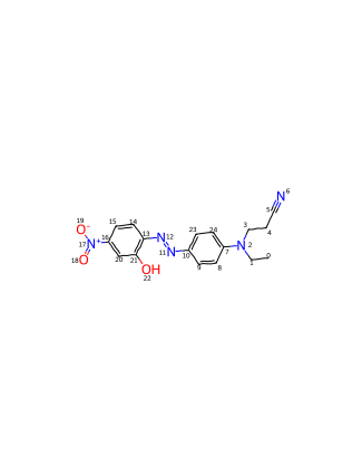 CCN(CCC#N)c1ccc(/N=N/c2ccc([N+](=O)[O-])cc2O)cc1